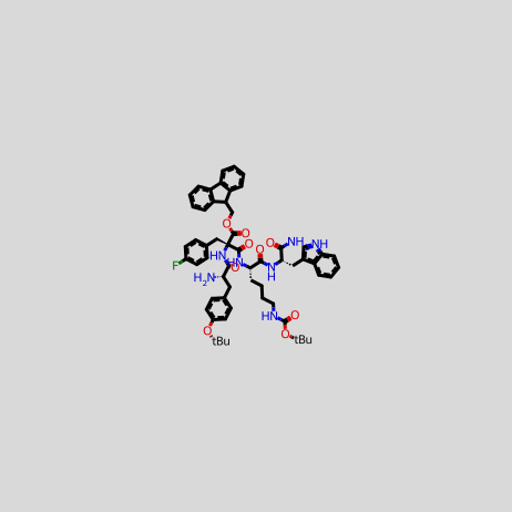 CC(C)(C)OC(=O)NCCCC[C@H](NC(=O)[C@](Cc1ccc(F)cc1)(NC(=O)[C@@H](N)Cc1ccc(OC(C)(C)C)cc1)C(=O)OCC1c2ccccc2-c2ccccc21)C(=O)N[C@@H](Cc1c[nH]c2ccccc12)C(N)=O